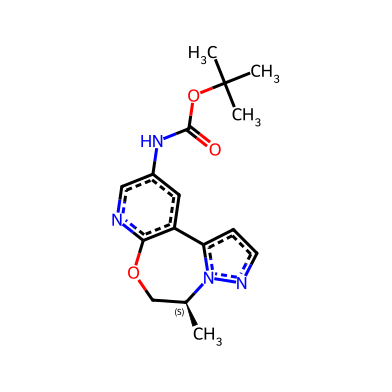 C[C@H]1COc2ncc(NC(=O)OC(C)(C)C)cc2-c2ccnn21